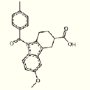 COc1ccc2c(c1)c1c(n2C(=O)c2ccc(C)cc2)CCC(C(=O)O)C1